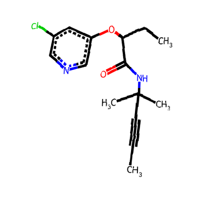 CC#CC(C)(C)NC(=O)C(CC)Oc1cncc(Cl)c1